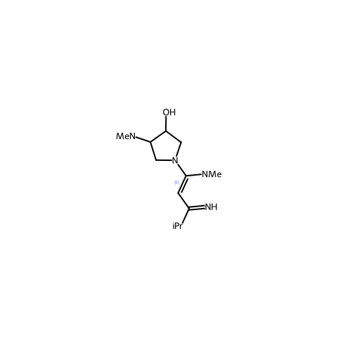 CN/C(=C\C(=N)C(C)C)N1CC(O)C(NC)C1